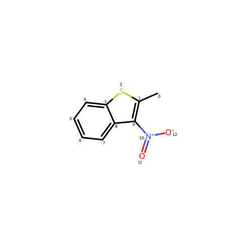 Cc1sc2ccccc2c1[N+](=O)[O-]